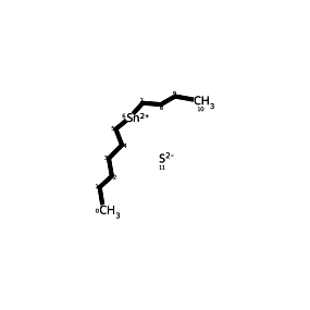 CCCCC[CH2][Sn+2][CH2]CCC.[S-2]